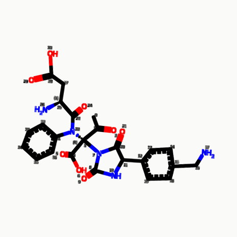 CC(=O)[C@](C(=O)O)(N1C(=O)NC(c2ccc(CN)cc2)C1=O)N(C(=O)[C@@H](N)CC(=O)O)c1ccccc1